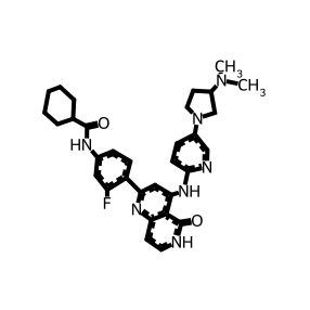 CN(C)C1CCN(c2ccc(Nc3cc(-c4ccc(NC(=O)C5CCCCC5)cc4F)nc4cc[nH]c(=O)c34)nc2)C1